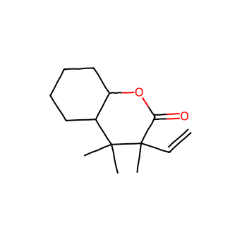 C=CC1(C)C(=O)OC2CCCCC2C1(C)C